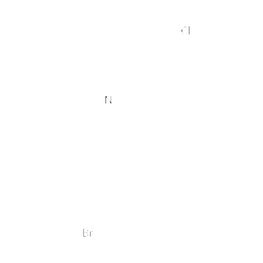 Clc1ccc2c(c1)N(c1ccccc1)c1ccccc1C21c2ccccc2-c2ccc(Br)cc21